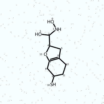 ONC(O)C1CC2=C(CC(S)CC2)O1